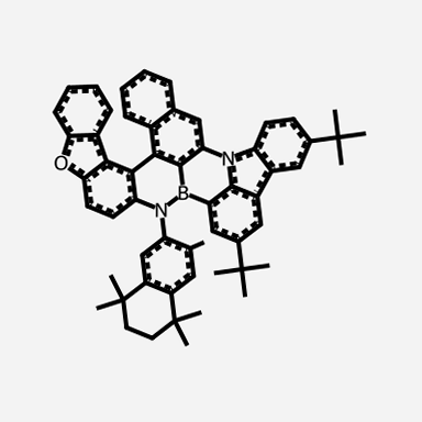 Cc1cc2c(cc1N1B3c4c(cc5ccccc5c4-c4c1ccc1oc5ccccc5c41)-n1c4ccc(C(C)(C)C)cc4c4cc(C(C)(C)C)cc3c41)C(C)(C)CCC2(C)C